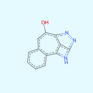 Oc1cc2ccccc2c2[nH]c3nnc1c32